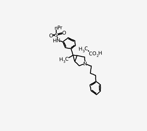 CC(=O)O.CCCS(=O)(=O)Nc1cccc(C2(C)C3CN(CCCc4ccccc4)CC32)c1